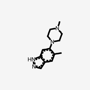 Cc1cc2cn[nH]c2cc1N1CCN(C)CC1